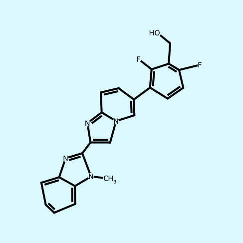 Cn1c(-c2cn3cc(-c4ccc(F)c(CO)c4F)ccc3n2)nc2ccccc21